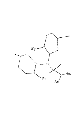 CC(=O)C(C(C)=O)C(C)(C)[Si](C1CC(C)CCC1C(C)C)C1CC(C)CCC1C(C)C